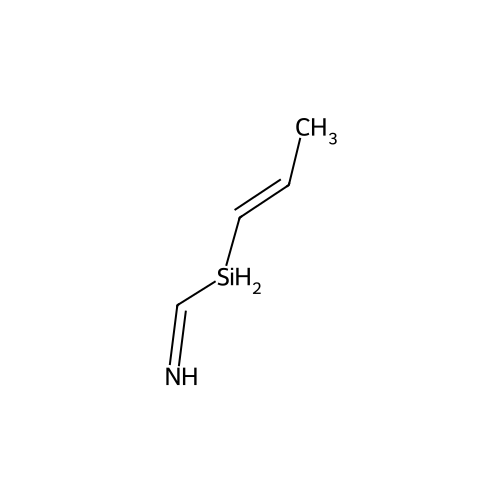 CC=C[SiH2]C=N